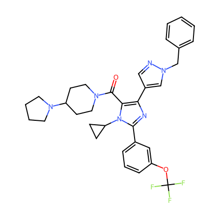 O=C(c1c(-c2cnn(Cc3ccccc3)c2)nc(-c2cccc(OC(F)(F)F)c2)n1C1CC1)N1CCC(N2CCCC2)CC1